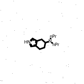 CCCN(CCC)C1CCc2c[nH]cc2C1